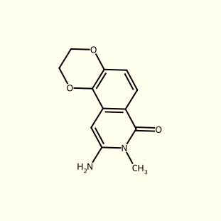 Cn1c(N)cc2c3c(ccc2c1=O)OCCO3